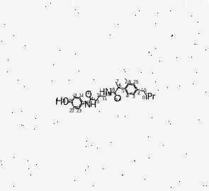 CC(C)Cc1ccc(C(C)C(=O)NCCCC(=O)Nc2ccc(O)cc2)cc1